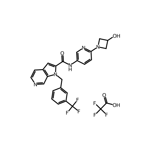 O=C(Nc1ccc(N2CC(O)C2)nc1)c1cc2ccncc2n1Cc1cccc(C(F)(F)F)c1.O=C(O)C(F)(F)F